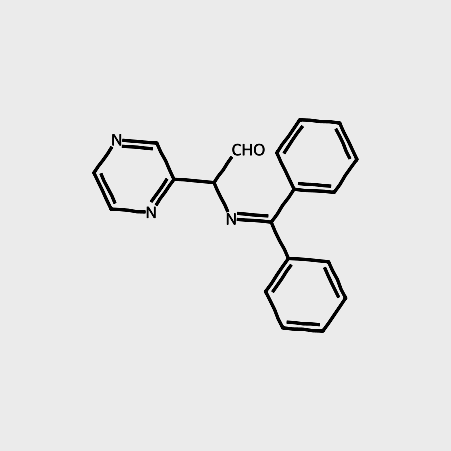 O=CC(N=C(c1ccccc1)c1ccccc1)c1cnccn1